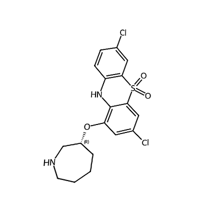 O=S1(=O)c2cc(Cl)ccc2Nc2c(O[C@@H]3CCCCNC3)cc(Cl)cc21